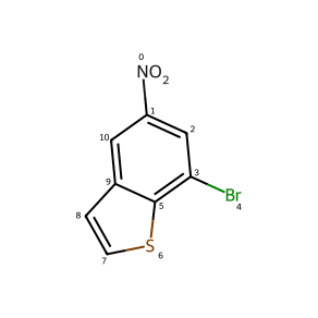 O=[N+]([O-])c1cc(Br)c2sccc2c1